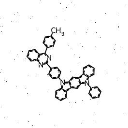 Cc1ccc(-c2nc(-c3ccc(-n4c5ccccc5c5cc6c(cc54)c4ccccc4n6-c4ccccc4)cc3)nc3ccccc23)cc1